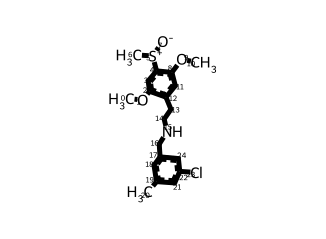 COc1cc([S+](C)[O-])c(OC)cc1CCNCc1cc(C)cc(Cl)c1